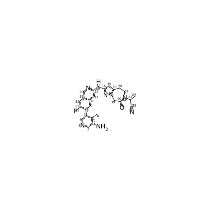 Cc1c(N)cncc1-c1cc2cc(Nc3cc4n(n3)CC(=O)N(C(C)C#N)CC4)ncc2cc1F